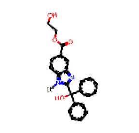 CCn1c(C(O)(c2ccccc2)c2ccccc2)nc2cc(C(=O)OCCO)ccc21